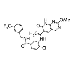 C=C(Nc1cc(C(=O)NCc2cccc(C(F)(F)F)c2)ccc1Cl)c1cc2cnc(OC)nc2[nH]c1=O